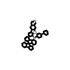 c1ccc(-c2ccc(N(c3cccc4c3-c3ccccc3C43c4ccccc4-c4ccccc43)c3cccc4c3oc3cc5cnccc5cc34)cc2)cc1